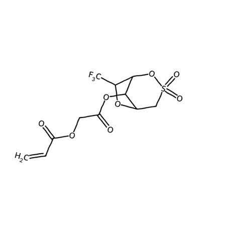 C=CC(=O)OCC(=O)OC1C2CS(=O)(=O)OC1C(C(F)(F)F)O2